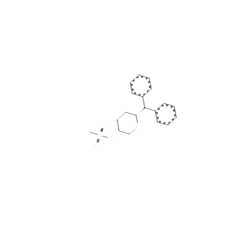 CS(=O)(=O)O[C@@H]1CC[C@@H](C(c2ccccc2)c2ccccc2)OC1